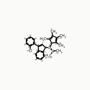 CC1=C(C)[CH]([Zr]([CH]2C=C(c3ccccc3Cl)c3ccccc32)=[Si](C)C)C(C)=C1C